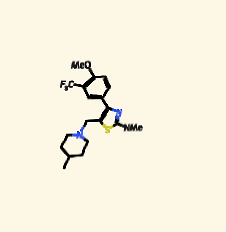 CNc1nc(-c2ccc(OC)c(C(F)(F)F)c2)c(CN2CCC(C)CC2)s1